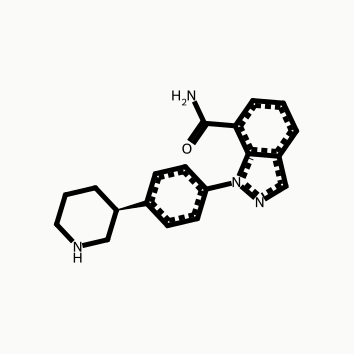 NC(=O)c1cccc2cnn(-c3ccc([C@@H]4CCCNC4)cc3)c12